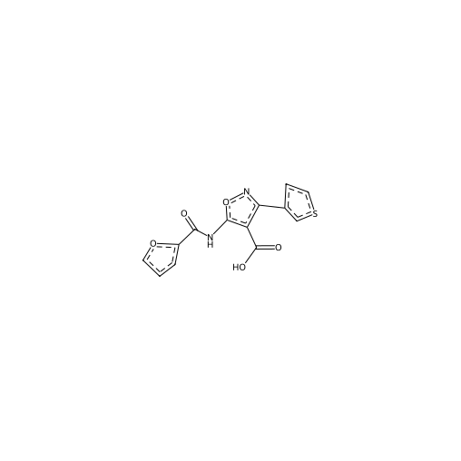 O=C(Nc1onc(-c2ccsc2)c1C(=O)O)c1ccco1